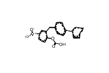 O=C(O)Oc1ccc([N+](=O)[O-])cc1Cc1ccc(-c2ccccc2)cc1